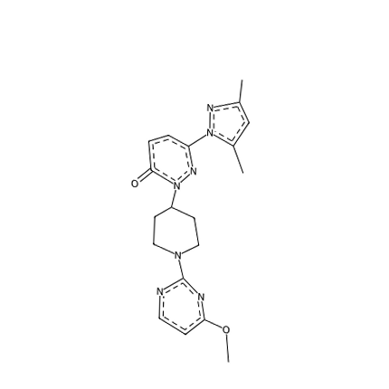 COc1ccnc(N2CCC(n3nc(-n4nc(C)cc4C)ccc3=O)CC2)n1